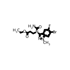 CCOC(=O)CCN(C(N)=O)c1nn(C)c2cc(Br)c(F)cc12